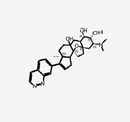 CN(C)[C@H]1C[C@@]23CC[C@]4(O2)C2CC=C(c5ccc6ccnnc6c5)[C@@]2(C)CCC4(O)CC3[C@@H](O)[C@@H]1O